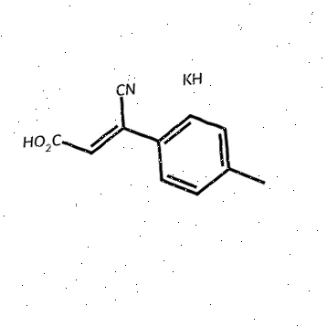 Cc1ccc(C(C#N)=CC(=O)O)cc1.[KH]